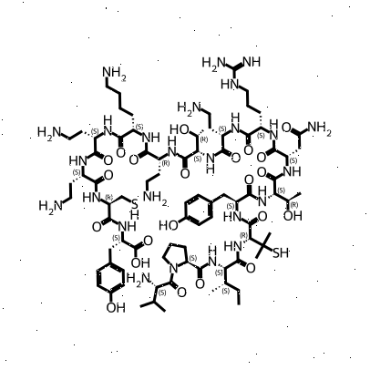 CC[C@H](C)[C@H](NC(=O)[C@@H]1CCCN1C(=O)[C@@H](N)C(C)C)C(=O)N[C@H](C(=O)N[C@@H](Cc1ccc(O)cc1)C(=O)N[C@H](C(=O)N[C@@H](CC(N)=O)C(=O)N[C@@H](CCCNC(=N)N)C(=O)N[C@@H](CCN)C(=O)N[C@H](C(=O)N[C@H](CCN)C(=O)N[C@@H](CCCCN)C(=O)N[C@@H](CCN)C(=O)N[C@@H](CCN)C(=O)N[C@@H](CS)C(=O)N[C@@H](Cc1ccc(O)cc1)C(=O)O)[C@@H](C)O)[C@@H](C)O)C(C)(C)S